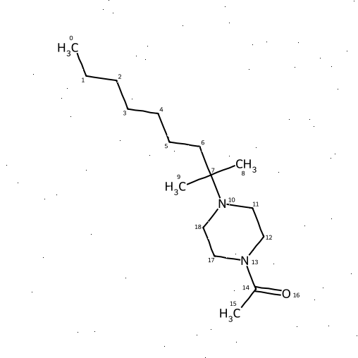 CCCCCCCC(C)(C)N1CCN(C(C)=O)CC1